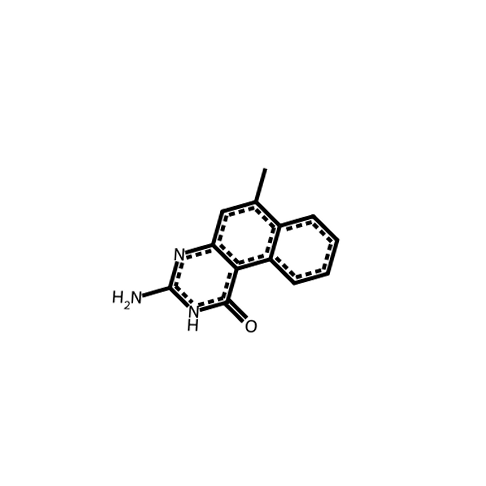 Cc1cc2nc(N)[nH]c(=O)c2c2ccccc12